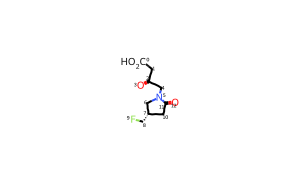 O=C(O)CC(=O)CN1C[C@@H](CF)CC1=O